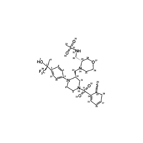 C[C@@](O)(c1ccc(N2CCN(S(=O)(=O)C3=CC=CCC3=S)C[C@@H]2CN2CCOC[C@H]2CNS(C)(=O)=O)cc1)C(F)(F)F